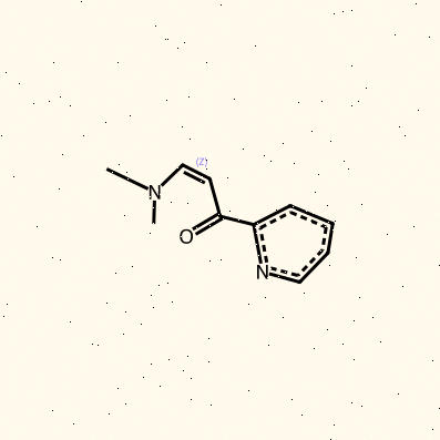 CN(C)/C=C\C(=O)c1ccccn1